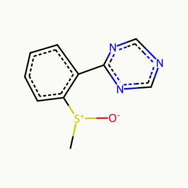 C[S+]([O-])c1ccccc1-c1ncncn1